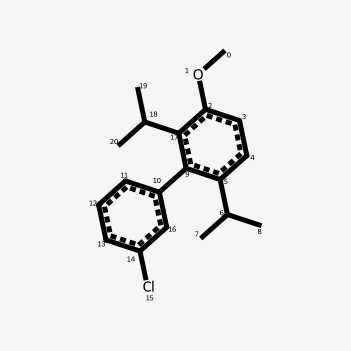 COc1ccc(C(C)C)c(-c2cccc(Cl)c2)c1C(C)C